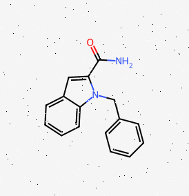 NC(=O)c1cc2ccccc2n1Cc1ccccc1